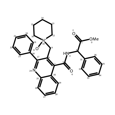 COC(=O)C(NC(=O)c1c(C[N+]2([O-])CCCCC2)c(-c2ccccc2)nc2ccccc12)c1ccccc1